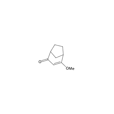 COC1=CC(=O)C2CCC1C2